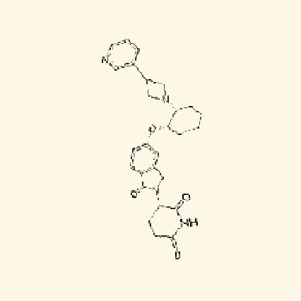 O=C1CCC(N2Cc3cc(O[C@H]4CCCC[C@H]4N4CC(c5cccnc5)C4)ccc3C2=O)C(=O)N1